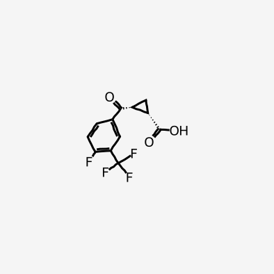 O=C(O)[C@H]1C[C@H]1C(=O)c1ccc(F)c(C(F)(F)F)c1